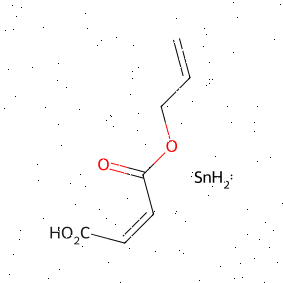 C=CCOC(=O)/C=C\C(=O)O.[SnH2]